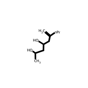 C=C(CCC)CC(O)CC(C)O